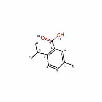 Cc1ccc(C(C)C)c(C(=O)O)c1